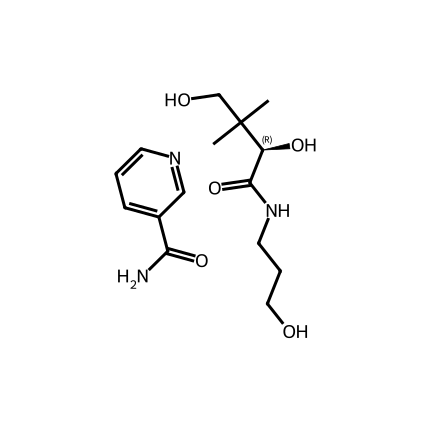 CC(C)(CO)[C@@H](O)C(=O)NCCCO.NC(=O)c1cccnc1